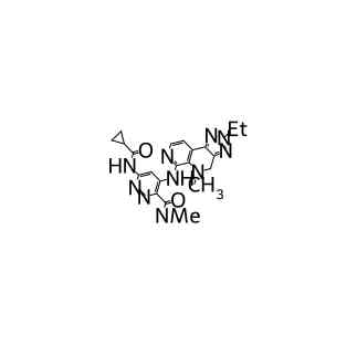 CCn1nc2c(n1)-c1ccnc(Nc3cc(NC(=O)C4CC4)nnc3C(=O)NC)c1N(C)C2